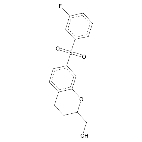 O=S(=O)(c1cccc(F)c1)c1ccc2c(c1)OC(CO)CC2